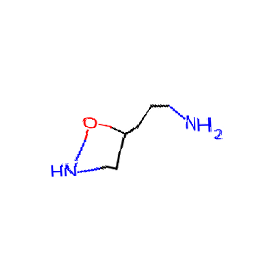 NCC1CNO1